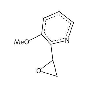 COc1cccnc1C1CO1